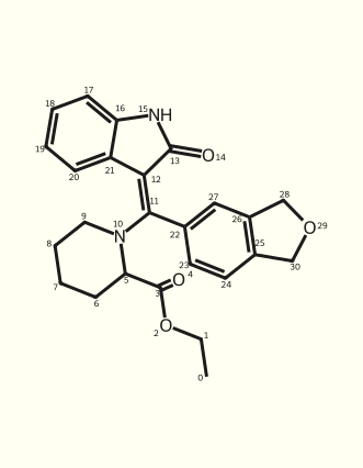 CCOC(=O)C1CCCCN1C(=C1C(=O)Nc2ccccc21)c1ccc2c(c1)COC2